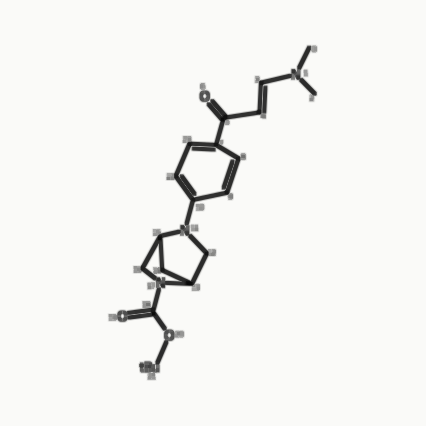 CN(C)C=CC(=O)c1ccc(N2CC3CC2CN3C(=O)OC(C)(C)C)cc1